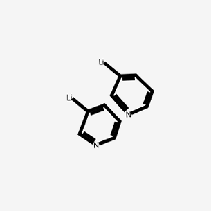 [Li][c]1cccnc1.[Li][c]1cccnc1